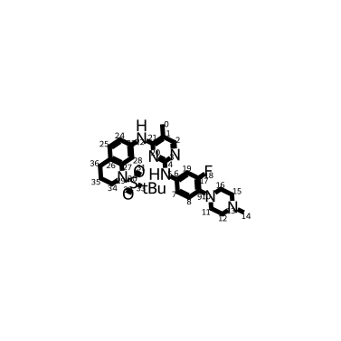 Cc1cnc(Nc2ccc(N3CCN(C)CC3)c(F)c2)nc1Nc1ccc2c(c1)N(S(=O)(=O)C(C)(C)C)CCC2